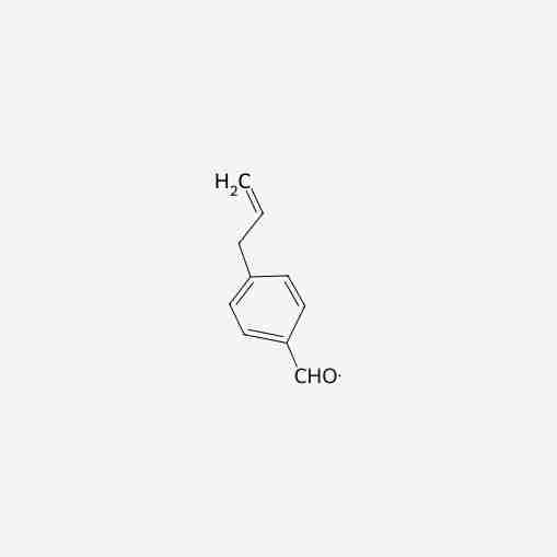 C=CCc1ccc([C]=O)cc1